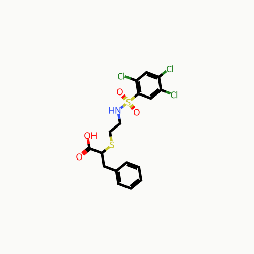 O=C(O)C(Cc1ccccc1)SCCNS(=O)(=O)c1cc(Cl)c(Cl)cc1Cl